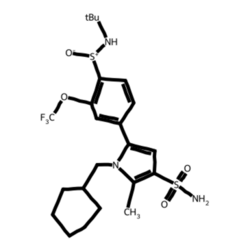 Cc1c(S(N)(=O)=O)cc(-c2ccc([S+]([O-])NC(C)(C)C)c(OC(F)(F)F)c2)n1CC1CCCCC1